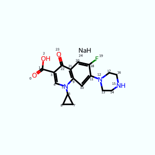 O=C(O)c1cn(C2CC2)c2cc(N3CCNCC3)c(F)cc2c1=O.[NaH]